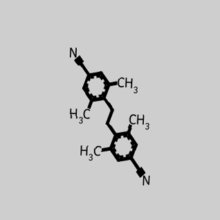 Cc1cc(C#N)cc(C)c1CCc1c(C)cc(C#N)cc1C